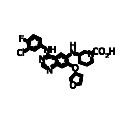 O=C(O)N1CCCC(Nc2cc3c(Nc4ccc(F)c(Cl)c4)ncnc3cc2O[C@H]2CCOC2)C1